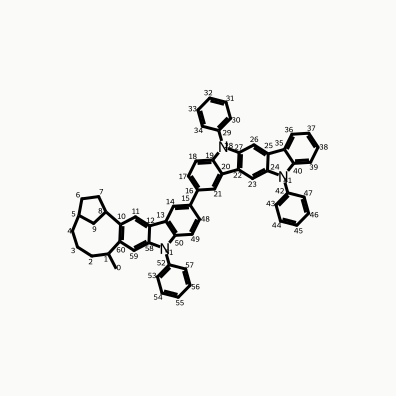 CC1CCCC2CCC(C2)c2cc3c4cc(-c5ccc6c(c5)c5cc7c(cc5n6-c5ccccc5)c5ccccc5n7-c5ccccc5)ccc4n(-c4ccccc4)c3cc21